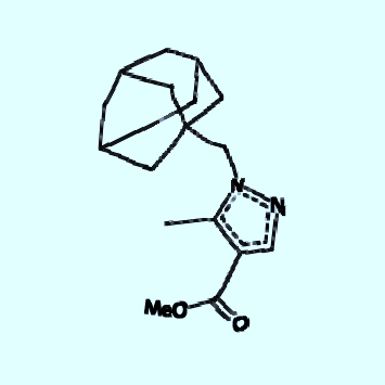 COC(=O)c1cnn(CC23CC4CC(CC(C4)C2)C3)c1C